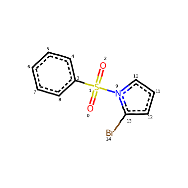 O=S(=O)(c1ccccc1)n1cccc1Br